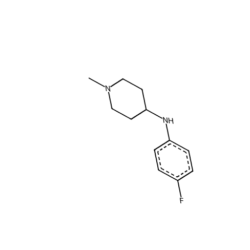 CN1CCC(Nc2ccc(F)cc2)CC1